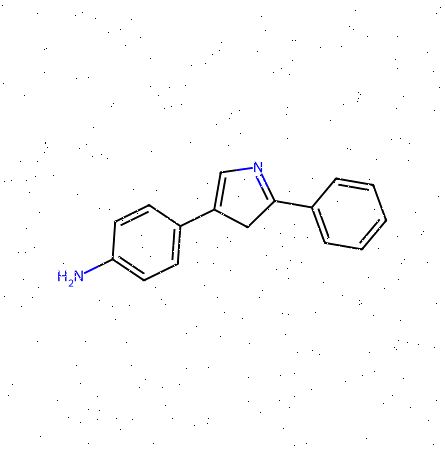 Nc1ccc(C2=CN=C(c3ccccc3)C2)cc1